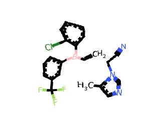 C=CB(c1cccc(C(F)(F)F)c1)c1ccccc1Cl.Cc1cncn1CC#N